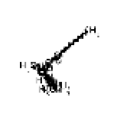 CCCCCCCCCCCCCCOC(=O)CCOC(=O)Nc1cc(-c2nn3nc(C(C)(C)C)c(Cl)c3[nH]2)ccc1OCC